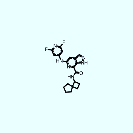 O=C(NC1CCC12CCCC2)c1nc(Nc2cc(F)nc(F)c2)cc2cn[nH]c12